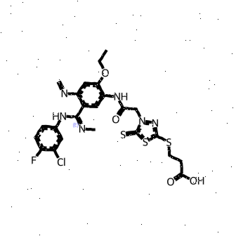 C=Nc1cc(OCC)c(NC(=O)Cn2nc(SCCC(=O)O)sc2=S)cc1/C(=N\C)Nc1ccc(F)c(Cl)c1